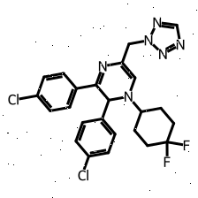 FC1(F)CCC(N2C=C(Cn3ncnn3)N=C(c3ccc(Cl)cc3)C2c2ccc(Cl)cc2)CC1